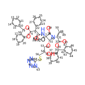 COC1(NC(=O)C(C(=O)OC(c2ccccc2)c2ccccc2)c2ccccc2)C(=O)N(C(C(=O)OC(c2ccccc2)c2ccccc2)=C(C)C)C1OCC(O)CSc1nnnn1C